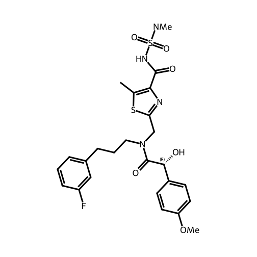 CNS(=O)(=O)NC(=O)c1nc(CN(CCCc2cccc(F)c2)C(=O)[C@H](O)c2ccc(OC)cc2)sc1C